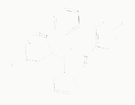 N#CC(C#N)CC(C(=O)c1ccccc1)C(CC(=O)c1ccc(F)cc1)c1ccccc1